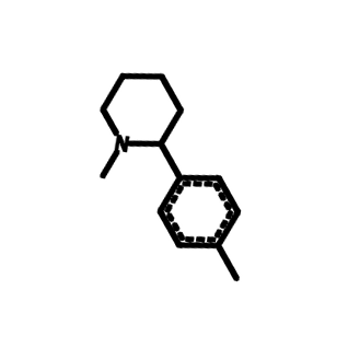 Cc1ccc(C2CCCCN2C)cc1